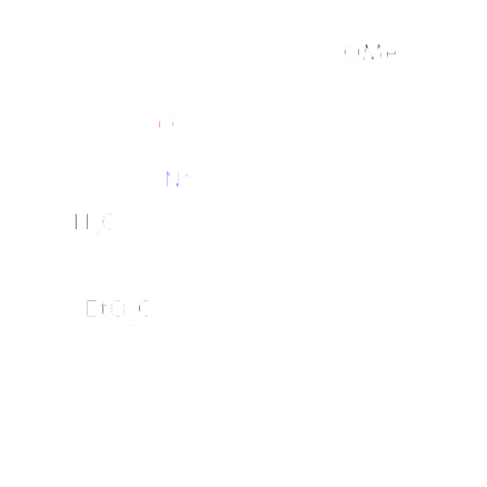 CCOC(=O)CC1=C(c2ccccc2)c2ccc(OC)cc2/C1=[N+](/C)[O-]